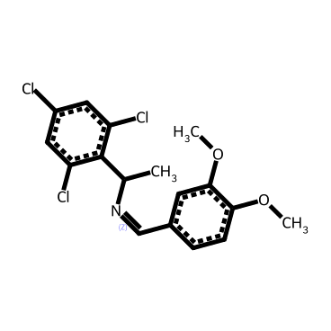 COc1ccc(/C=N\C(C)c2c(Cl)cc(Cl)cc2Cl)cc1OC